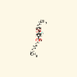 CCCCCCCCCOC(=O)c1ccc(C2OCC(CCCC)CO2)c(F)c1